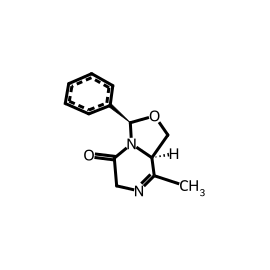 CC1=NCC(=O)N2[C@@H](c3ccccc3)OC[C@@H]12